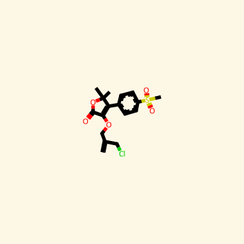 C=C(CCl)COC1=C(c2ccc(S(C)(=O)=O)cc2)C(C)(C)OC1=O